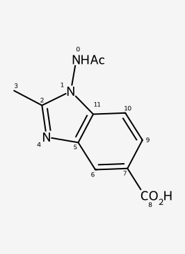 CC(=O)Nn1c(C)nc2cc(C(=O)O)ccc21